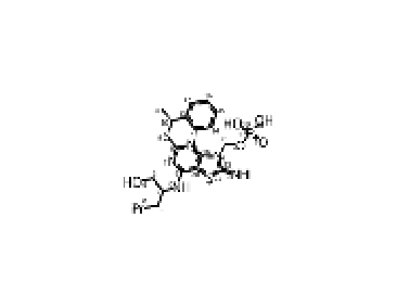 CC(C)CC(CO)Nc1nc(S[C@@H](C)c2ccccc2)nc2c1sc(=N)n2COP(=O)(O)O